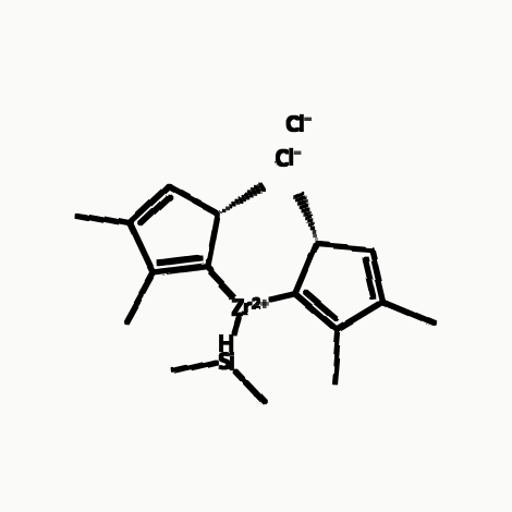 CC1=C[C@@H](C)[C]([Zr+2]([C]2=C(C)C(C)=C[C@@H]2C)[SiH](C)C)=C1C.[Cl-].[Cl-]